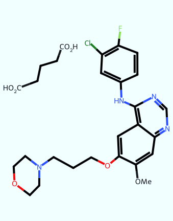 COc1cc2ncnc(Nc3ccc(F)c(Cl)c3)c2cc1OCCCN1CCOCC1.O=C(O)CCCC(=O)O